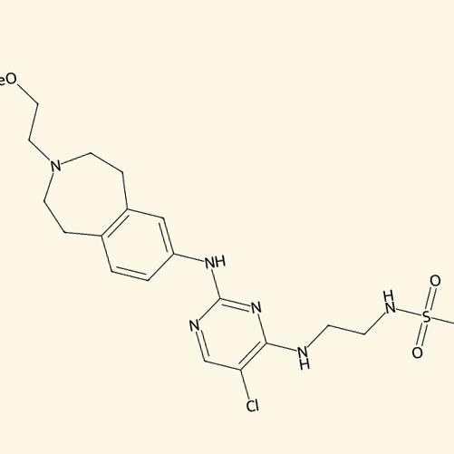 COCCN1CCc2ccc(Nc3ncc(Cl)c(NCCNS(C)(=O)=O)n3)cc2CC1